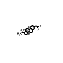 CC=C1CC[C@H]2[C@@H]3CCc4cc(OC(=O)CC)ccc4[C@H]3CC[C@]12C